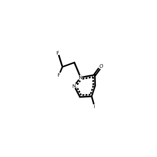 O=c1cc(I)cnn1CC(F)F